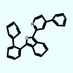 c1ccc(-c2ccnc(-c3oc(-c4ccccc4-c4ccccc4)c4ccccc34)c2)cc1